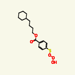 O=C(OCCCCC1CCCCC1)c1ccc(SOOO)cc1